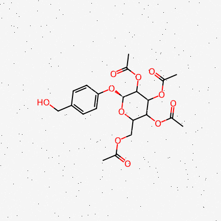 CC(=O)OCC1O[C@@H](Oc2ccc(CO)cc2)C(OC(C)=O)C(OC(C)=O)C1OC(C)=O